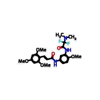 COc1cc(OC)c(C=CC(=O)Nc2ccc(OC)c(NC(=O)C(F)(F)N(C)C)c2)c(OC)c1